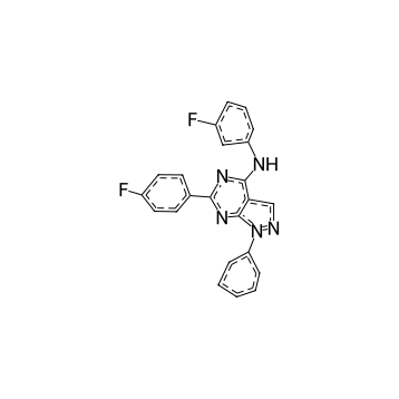 Fc1ccc(-c2nc(Nc3cccc(F)c3)c3cnn(-c4ccccc4)c3n2)cc1